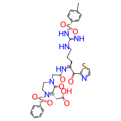 Cc1ccc(S(=O)(=O)NC(=N)NCCC[C@H](NC(=O)CN2CCN(S(=O)(=O)c3ccccc3)[C@@H](CC(=O)O)C2=O)C(=O)c2nccs2)cc1